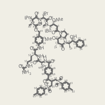 CC[C@H](C)[C@@H]([C@@H](CC(=O)N1CCC[C@H]1[C@H](OC)[C@@H](C)C(=O)N[C@H](C)[C@@H](O)c1ccccc1)OC)N(C)C(=O)[C@@H](NC(=O)[C@H](C(C)C)N(C)C(=O)OCc1ccc(NC(=O)[C@H](CCCNC(N)=O)NC(=O)[C@@H](NC(=O)c2ccc(C(=O)C(CS(=O)(=O)c3ccc(C)cc3)CS(=O)(=O)c3ccc(C)cc3)cc2)C(C)C)cc1)C(C)C